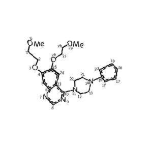 COCCOc1cc2ncnc(N3CCN(c4ccccc4)CC3)c2cc1OCCOC